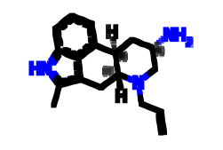 C=CCN1C[C@@H](N)C[C@@H]2c3cccc4[nH]c(C)c(c34)C[C@H]21